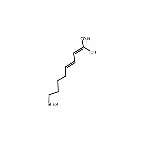 CCCCCCCCCCC/C=C/C=C(\O)C(=O)O